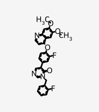 COc1cc2nccc(Oc3ccc(-c4cncn(Cc5ccccc5F)c4=O)cc3F)c2cc1OC